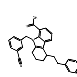 N#Cc1cccc(Cn2c3c(c4cccc(C(=O)O)c42)C(CCc2ccccc2)CCC3)c1